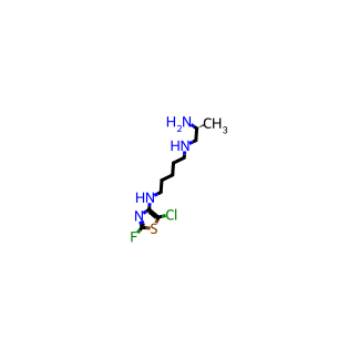 C[C@@H](N)CNCCCCCNc1nc(F)sc1Cl